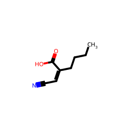 CCCCC(=CC#N)C(=O)O